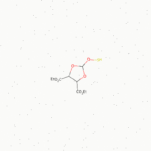 CCOC(=O)C1OC(OS)OC1C(=O)OCC